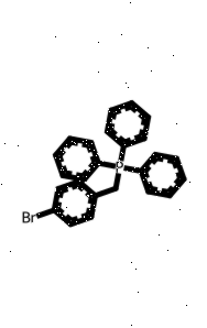 Brc1ccc(C[P](c2ccccc2)(c2ccccc2)c2ccccc2)cc1